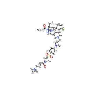 COC(=O)N[C@H]1CCC[C@@H]1[C@](c1cccc(F)c1)(C1CCN(CC2CN(c3ccc(S(=O)(=O)C4CN(C(=O)/C=C/CN5CCC5)C4)cc3)C2)CC1)N1CCC1